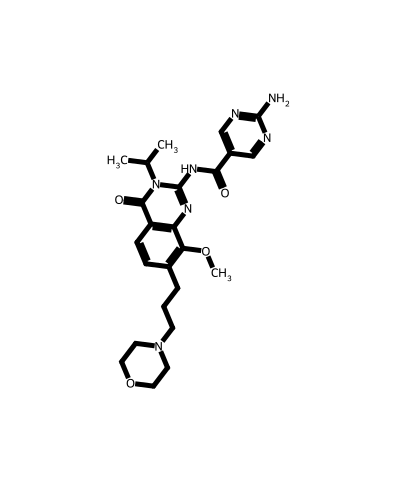 COc1c(CCCN2CCOCC2)ccc2c(=O)n(C(C)C)c(NC(=O)c3cnc(N)nc3)nc12